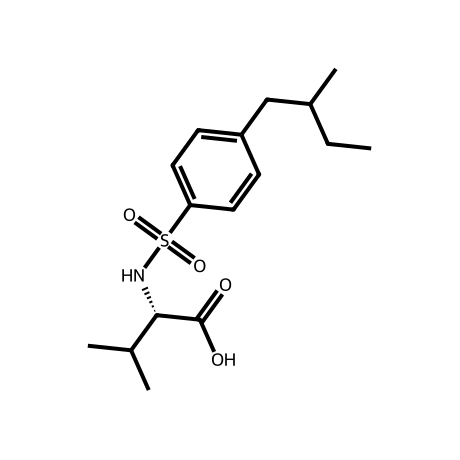 CCC(C)Cc1ccc(S(=O)(=O)N[C@H](C(=O)O)C(C)C)cc1